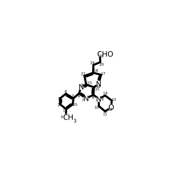 Cc1cccc(-c2nc(N3CCOCC3)c3ncc(CCC=O)cc3n2)c1